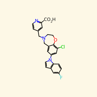 O=C(O)c1cc(CN2CCOc3c(Cl)cc(-n4ccc5cc(F)ccc54)cc3C2)ccn1